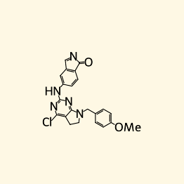 COc1ccc(CN2CCc3c(Cl)nc(Nc4ccc5c(c4)C=NC5=O)nc32)cc1